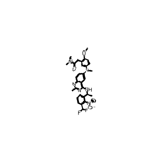 COc1ccc(N(C)c2ccc3nc(C)nc(NC(C)c4cccc(C(F)F)c4[N+](=O)[O-])c3c2)cc1CC(=O)N(C)C